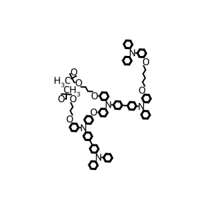 CC1(COCCCCOc2cccc(N(c3ccc(Oc4cccc(N(c5ccc(-c6ccc(N(c7ccccc7)c7cccc(OCCCCCCOc8cccc(N(c9ccccc9)c9ccccc9)c8)c7)cc6)cc5)c5cccc(OCCCCOCC6(C)COC6)c5)c4)cc3)c3ccc(-c4ccc(N(c5ccccc5)c5ccccc5)cc4)cc3)c2)COC1